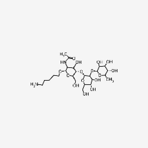 CC(=O)NC1C(O)[C@H](O[C@@H]2OC(CO)[C@H](O)C(O)C2O[C@@H]2OC(C)[C@@H](O)C(O)C2O)C(CO)O[C@H]1OCCCCCN